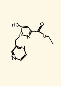 CCOC(=O)c1cc(O)n(Cc2cnccn2)n1